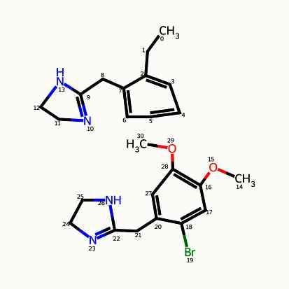 CCc1ccccc1CC1=NCCN1.COc1cc(Br)c(CC2=NCCN2)cc1OC